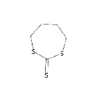 S=C1SCCCCS1